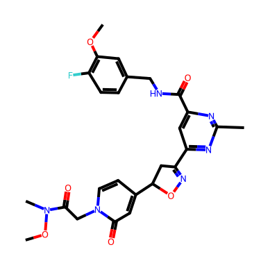 COc1cc(CNC(=O)c2cc(C3=NOC(c4ccn(CC(=O)N(C)OC)c(=O)c4)C3)nc(C)n2)ccc1F